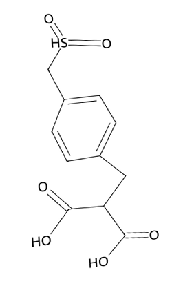 O=C(O)C(Cc1ccc(C[SH](=O)=O)cc1)C(=O)O